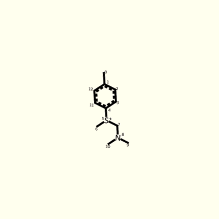 Cc1ccc([S+](C)CN(C)C)cc1